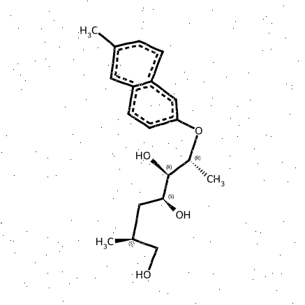 Cc1ccc2cc(O[C@H](C)[C@H](O)[C@@H](O)C[C@H](C)CO)ccc2c1